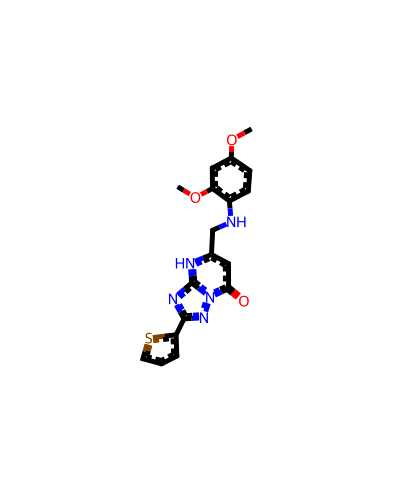 COc1ccc(NCc2cc(=O)n3nc(-c4cccs4)nc3[nH]2)c(OC)c1